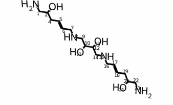 NCC(O)CC=CCNCC(O)C(O)CNCC=CCC(O)CN